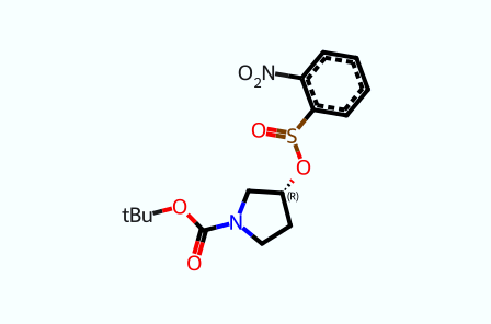 CC(C)(C)OC(=O)N1CC[C@@H](OS(=O)c2ccccc2[N+](=O)[O-])C1